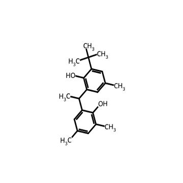 Cc1cc(C)c(O)c(C(C)c2cc(C)cc(C(C)(C)C)c2O)c1